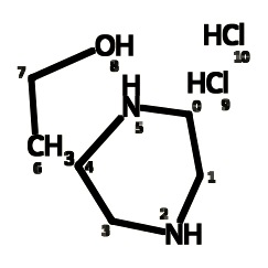 C1CNCCN1.CCO.Cl.Cl